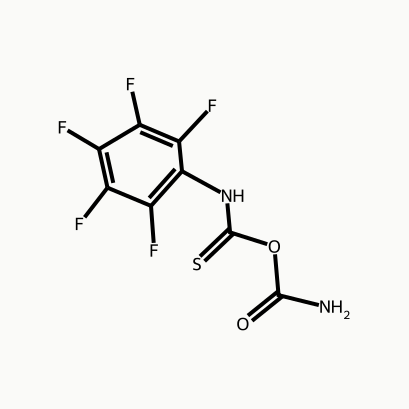 NC(=O)OC(=S)Nc1c(F)c(F)c(F)c(F)c1F